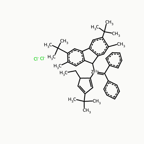 CCC1C=C(C(C)(C)C)C=[C]1[Zr+2](=[C](c1ccccc1)c1ccccc1)[CH]1c2cc(C)c(C(C)(C)C)cc2-c2cc(C(C)(C)C)c(C)cc21.[Cl-].[Cl-]